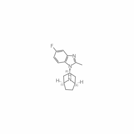 Cc1nc2cc(F)ccc2n1[C@H]1C[C@H]2CC[C@@H](C1)N2